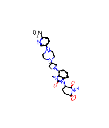 Cn1c(=O)n(C2CCC(=O)NC2=O)c2cccc(N3CC[C@@H](N4CCN(c5ccc([N+](=O)[O-])nc5)CC4)C3)c21